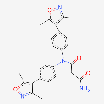 Cc1noc(C)c1-c1ccc(N(C(=O)CC(N)=O)c2ccc(-c3c(C)noc3C)cc2)cc1